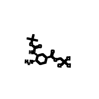 CC(C)(C)OC(=O)N[C@@H]1C[C@@H](C(=O)OCC(Cl)(Cl)Cl)CC[C@@H]1N